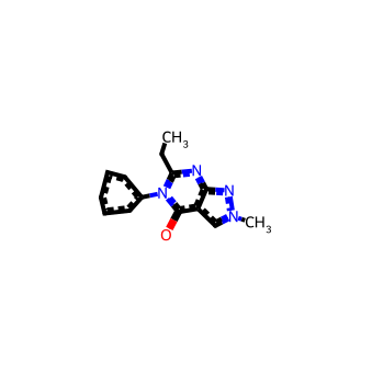 CCc1nc2nn(C)cc2c(=O)n1-c1ccccc1